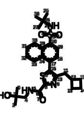 CC(C)(O)CNC(=O)c1nc(CC2CCC2)c(-c2ccc(S(=O)(=O)NC(C)(C)C)c3ccccc23)s1